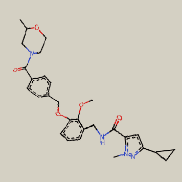 COc1c(CNC(=O)c2cc(C3CC3)nn2C)cccc1OCc1ccc(C(=O)N2CCOC(C)C2)cc1